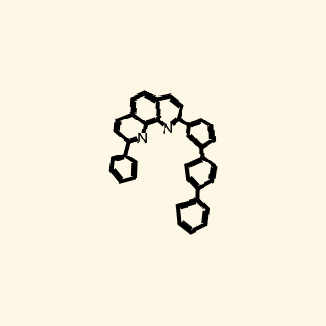 c1ccc(-c2ccc(-c3cccc(-c4ccc5ccc6ccc(-c7ccccc7)nc6c5n4)c3)cc2)cc1